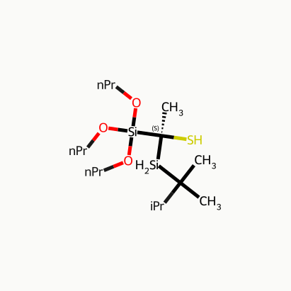 CCCO[Si](OCCC)(OCCC)[C@@](C)(S)[SiH2]C(C)(C)C(C)C